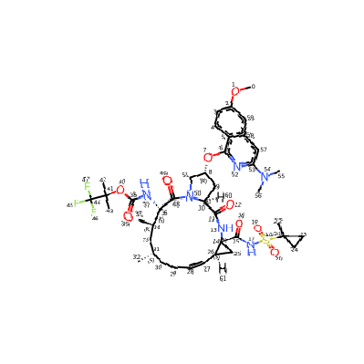 COc1ccc2c(O[C@@H]3C[C@H]4C(=O)N[C@]5(C(=O)NS(=O)(=O)C6(C)CC6)C[C@H]5C=CCC[C@H](C)C[C@@H](C)[C@H](NC(=O)OC(C)(C)C(F)(F)F)C(=O)N4C3)nc(N(C)C)cc2c1